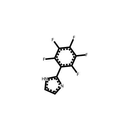 Fc1c(F)c(F)c(-c2ncc[nH]2)c(F)c1F